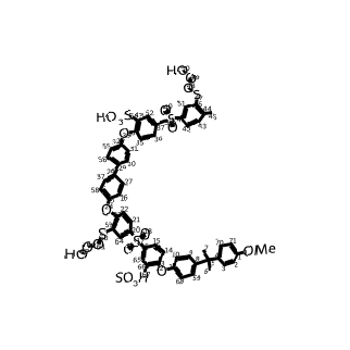 COc1ccc(C(C)(C)c2ccc(Oc3ccc(S(=O)(=O)c4ccc(Oc5ccc(-c6ccc(Oc7ccc(S(=O)(=O)c8ccc(C)c(SOOO)c8)cc7S(=O)(=O)O)cc6)cc5)c(SOOO)c4)cc3S(=O)(=O)O)cc2)cc1